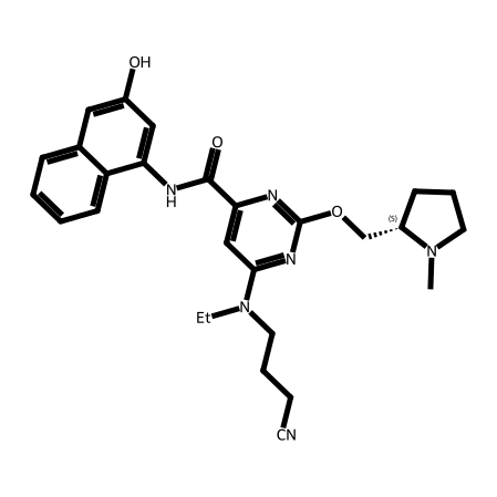 CCN(CCCC#N)c1cc(C(=O)Nc2cc(O)cc3ccccc23)nc(OC[C@@H]2CCCN2C)n1